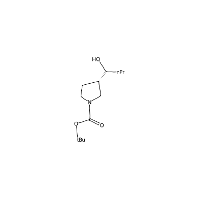 CCCC(O)[C@H]1CCN(C(=O)OC(C)(C)C)C1